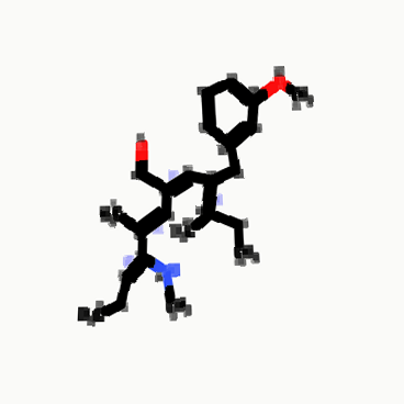 CC/C=C(NC)/C(C)=C/C(C=O)=C\C(Cc1cccc(OC)c1)=C(/C)CC